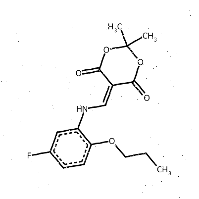 CCCOc1ccc(F)cc1NC=C1C(=O)OC(C)(C)OC1=O